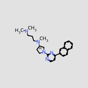 CN(C)CCCN(C)[C@@H]1CCN(c2nccc(-c3ccc4ccccc4c3)n2)C1